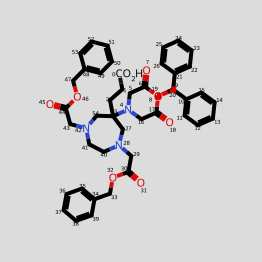 O=C(O)CCC1(N(CC(=O)OCc2ccccc2)CC(=O)OCc2ccccc2)CN(CC(=O)OCc2ccccc2)CCN(CC(=O)OCc2ccccc2)C1